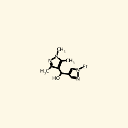 CCn1cc(C(O)c2c(C)nn(C)c2C)cn1